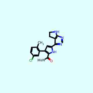 CNC(=O)c1[nH]c(-c2ncnc3c2CCN3)cc1-c1cc(Cl)ccc1C